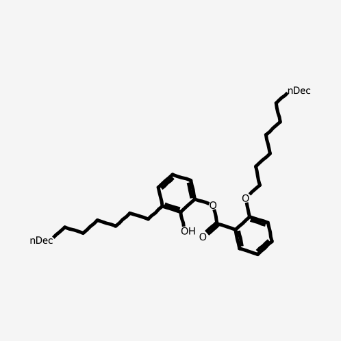 CCCCCCCCCCCCCCCCOc1ccccc1C(=O)Oc1cccc(CCCCCCCCCCCCCCCC)c1O